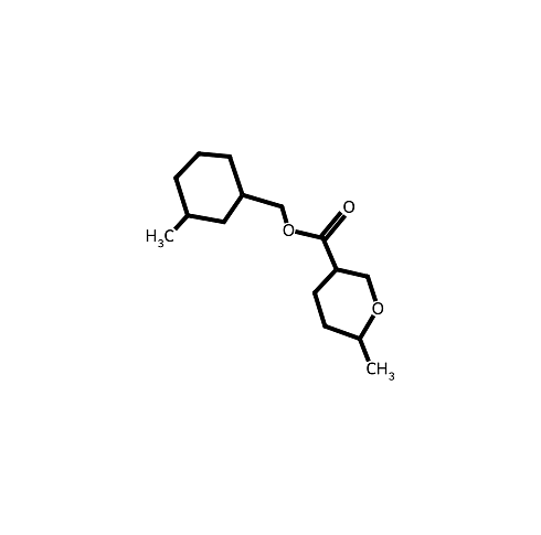 CC1CCCC(COC(=O)C2CCC(C)OC2)C1